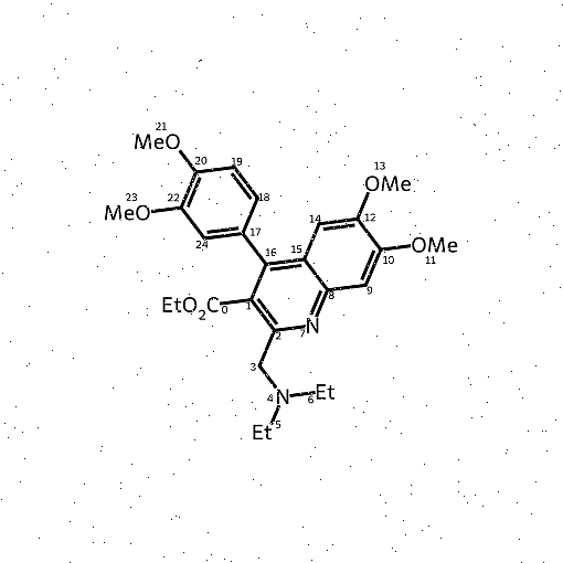 CCOC(=O)c1c(CN(CC)CC)nc2cc(OC)c(OC)cc2c1-c1ccc(OC)c(OC)c1